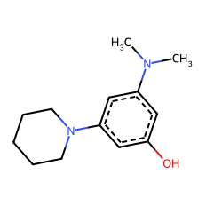 CN(C)c1cc(O)cc(N2CCCCC2)c1